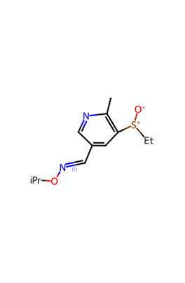 CC[S+]([O-])c1cc(/C=N/OC(C)C)cnc1C